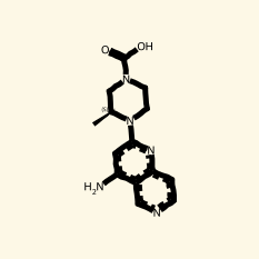 C[C@H]1CN(C(=O)O)CCN1c1cc(N)c2cnccc2n1